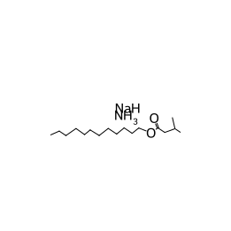 CCCCCCCCCCCCOC(=O)CC(C)C.N.[NaH]